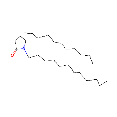 CCCCCCCCCCCCN1CCCC1=O.[CH2]CCCCCCCCCC